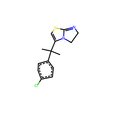 CC(C)(C1=CSC2=NCCN12)c1ccc(Cl)cc1